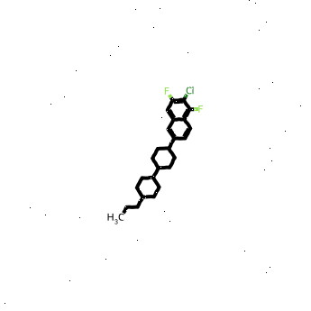 CCCC1CCC(C2CCC(c3ccc4c(F)c(Cl)c(F)cc4c3)CC2)CC1